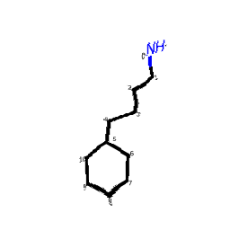 [NH]CCCCC1CCCCC1